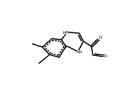 Cc1cc2c(cc1C)NC(C(=O)C=O)=CN2